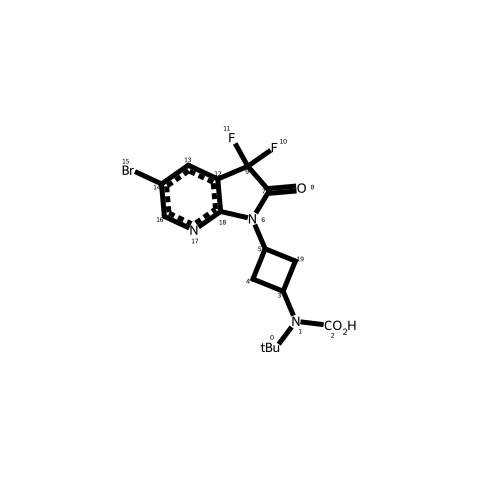 CC(C)(C)N(C(=O)O)C1CC(N2C(=O)C(F)(F)c3cc(Br)cnc32)C1